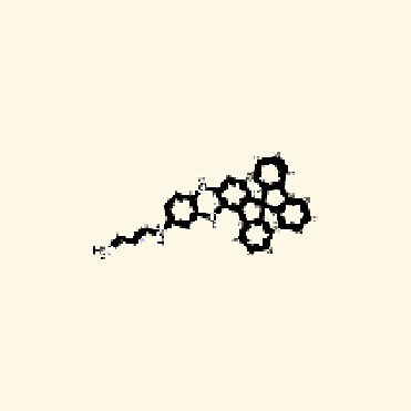 C=C/C=C/Nc1ccc2c(c1)Oc1c(ccc3c1-c1ccccc1C31c3ccc#cc3-c3ccccc31)O2